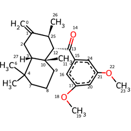 C=C1C[C@H]2C(C)(C)CCC[C@@]2(C)[C@@H](C(=O)c2cc(OC)cc(OC)c2)[C@@H]1C